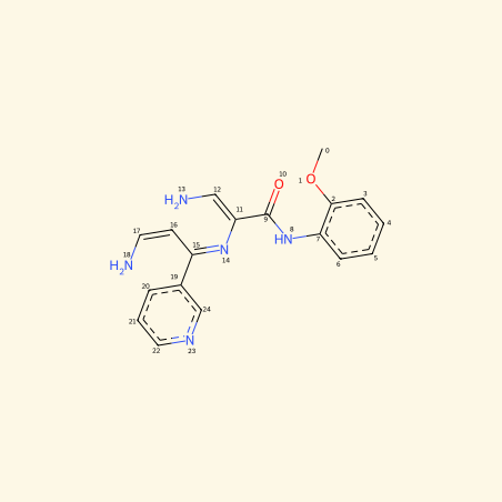 COc1ccccc1NC(=O)C(=C/N)/N=C(\C=C/N)c1cccnc1